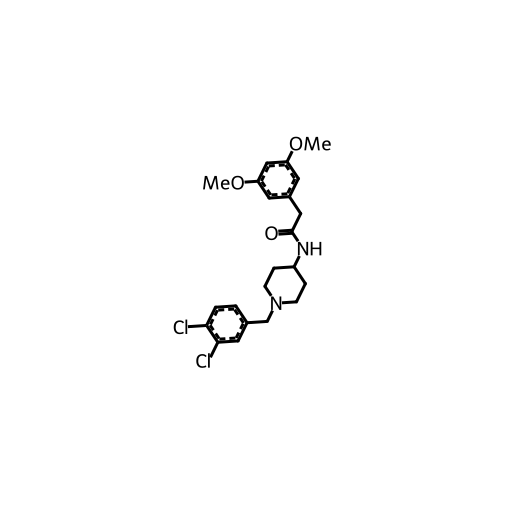 COc1cc(CC(=O)NC2CCN(Cc3ccc(Cl)c(Cl)c3)CC2)cc(OC)c1